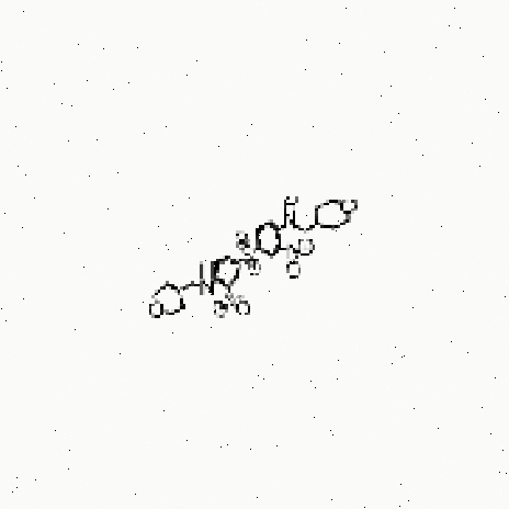 O=[N+]([O-])c1cc(S(=O)(=O)c2ccc(NCC3CCOCC3)c([N+](=O)[O-])c2)ccc1NCC1CCOCC1